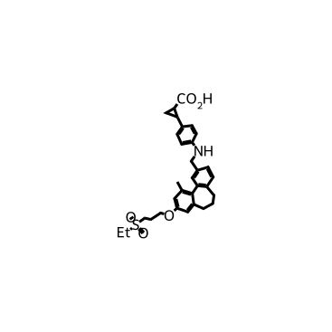 CCS(=O)(=O)CCCOc1cc(C)c2c(c1)CCCc1ccc(CNc3ccc(C4CC4C(=O)O)cc3)cc1-2